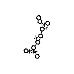 CC(C)(c1ccccc1)c1cc(-c2ccc3c(c2)C(C)(C)c2cc(-c4ccc5c(c4)C(C)(C)c4ccccc4N5c4ccc5ccccc5c4)ccc2-3)ccc1Nc1ccccc1